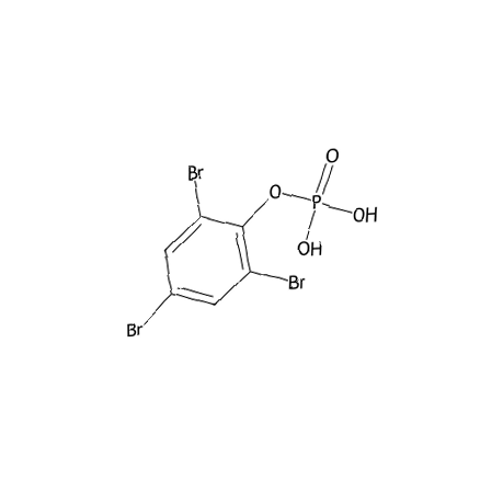 O=P(O)(O)Oc1c(Br)cc(Br)cc1Br